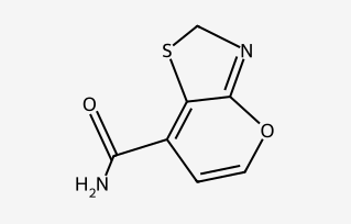 NC(=O)C1=C2SCN=C2OC=C1